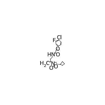 C=C(CCNC(=O)COc1ccc(Cl)c(F)c1)N1C[C@@H](C2CCC2)OC1=O